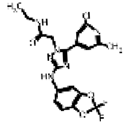 CCNC(=O)Cn1nc(Nc2ccc3c(c2)OC(F)(F)O3)nc1-c1cc(C)nc(Cl)c1